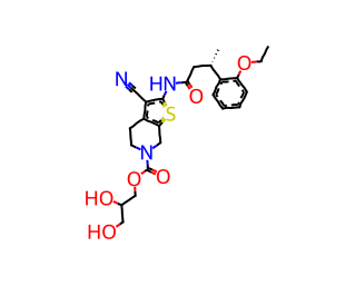 CCOc1ccccc1[C@@H](C)CC(=O)Nc1sc2c(c1C#N)CCN(C(=O)OCC(O)CO)C2